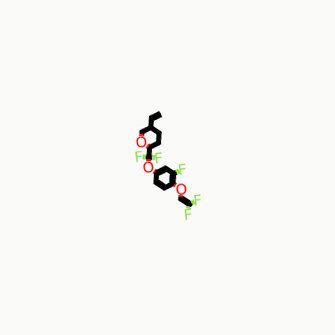 C=CC1CCC(C(F)(F)Oc2ccc(OC=C(F)F)c(F)c2)OC1